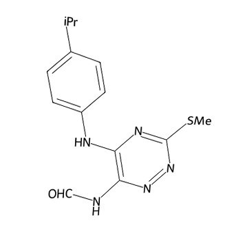 CSc1nnc(NC=O)c(Nc2ccc(C(C)C)cc2)n1